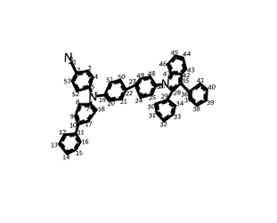 N#Cc1ccc(N(c2ccc(-c3ccccc3)cc2)c2ccc(-c3ccc(-n4c(-c5ccccc5)c(-c5ccccc5)c5ccccc54)cc3)cc2)cc1